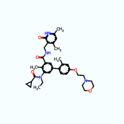 CCN(C(=O)C1CC1)c1cc(-c2ccc(OCCN3CCOCC3)cc2C)cc(C(=O)NCc2c(C)cc(C)[nH]c2=O)c1C